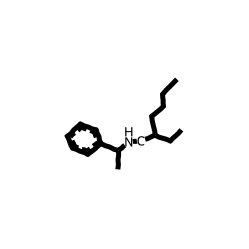 CCCCC(CC)CNC(C)c1ccccc1